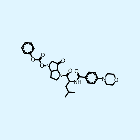 CC(C)CC(NC(=O)c1ccc(N2CCOCC2)cc1)C(=O)N1CCC2C1C(=O)CN2OC(=O)Oc1ccccc1